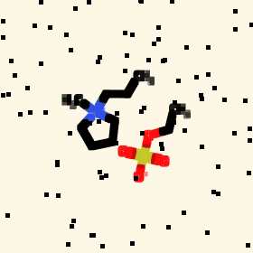 CCC[N+]1(C)CCCC1.CCOS(=O)(=O)[O-]